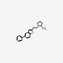 C[C@@H]1CCCN1CCc1cc2cc(-c3c[c]ccc3)ccc2o1